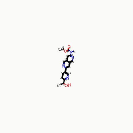 CCC(O)c1ccc(-c2cc3cnc(N(C)C(=O)OC(C)(C)C)cc3cn2)cn1